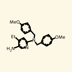 CCc1cc(N(Cc2ccc(OC)cc2)Cc2ccc(OC)cc2)ncc1N